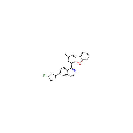 Cc1cc(-c2nccc3cc(C4CCC(F)C4)ccc23)c2oc3ccccc3c2c1